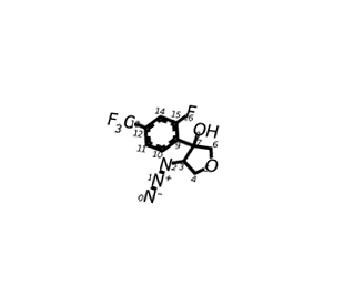 [N-]=[N+]=NC1COCC1(O)c1ccc(C(F)(F)F)cc1F